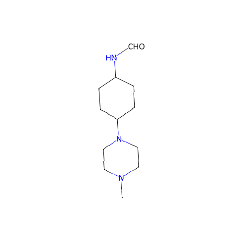 CN1CCN(C2CCC(NC=O)CC2)CC1